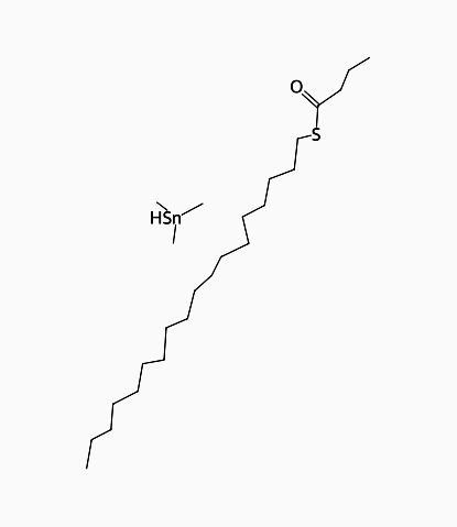 CCCCCCCCCCCCCCCCCCSC(=O)CCC.[CH3][SnH]([CH3])[CH3]